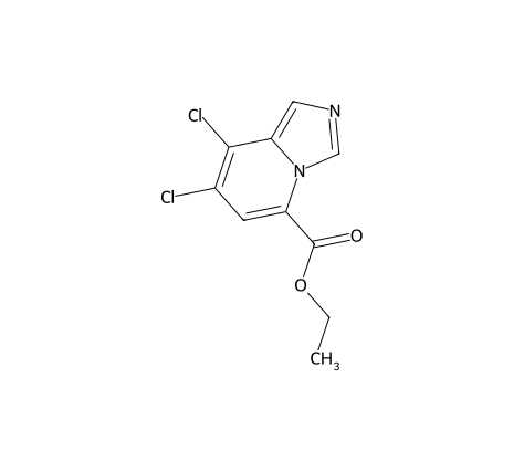 CCOC(=O)c1cc(Cl)c(Cl)c2cncn12